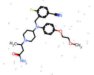 COCCOc1ccc(N(Cc2cc(C#N)ccc2F)C2CCN(C(C)CC(N)=O)CC2)cc1